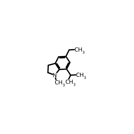 CCc1cc2c(c(C(C)C)c1)N(C)CC2